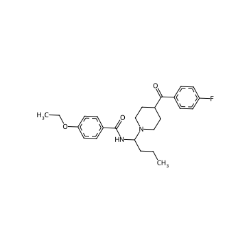 CCCC(NC(=O)c1ccc(OCC)cc1)N1CCC(C(=O)c2ccc(F)cc2)CC1